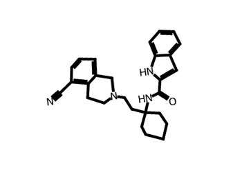 N#Cc1cccc2c1CCN(CCC1(NC(=O)c3cc4ccccc4[nH]3)CCCCC1)C2